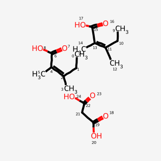 CCC(C)=C(C)C(=O)O.CCC(C)=C(C)C(=O)O.O=C(O)CC(=O)O